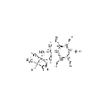 O=S(=O)(NS(=O)(=O)C(F)(C(F)(F)F)C(F)(F)F)c1c(F)c(F)c(F)c(F)c1F